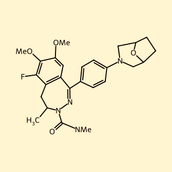 CNC(=O)N1N=C(c2ccc(N3CC4CCC(C3)O4)cc2)c2cc(OC)c(OC)c(F)c2CC1C